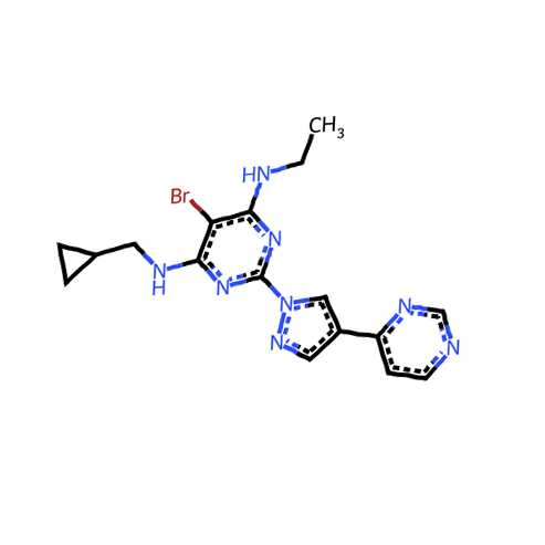 CCNc1nc(-n2cc(-c3ccncn3)cn2)nc(NCC2CC2)c1Br